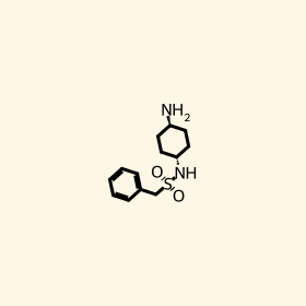 N[C@H]1CC[C@H](NS(=O)(=O)Cc2ccccc2)CC1